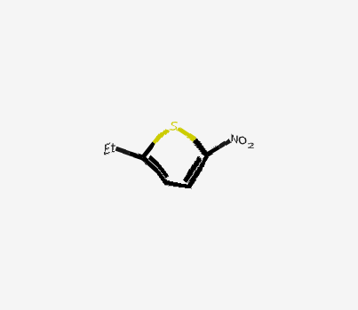 CCc1ccc([N+](=O)[O-])s1